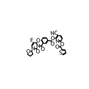 N#Cc1ccc(OC(=O)c2cccs2)nc1OC(=O)c1cccc(C(=O)n2c(=O)c(F)cn(C3CCCO3)c2=O)c1